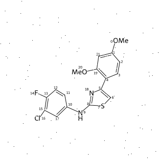 COc1ccc(-c2csc(Nc3ccc(F)c(Cl)c3)n2)c(OC)c1